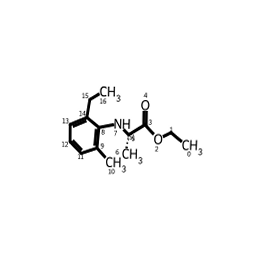 CCOC(=O)[C@H](C)Nc1c(C)cccc1CC